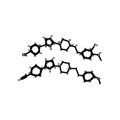 COc1ccc(CCN2CCN(c3nc(-c4ccc(C#N)cc4)ns3)CC2)cc1.COc1ccc(CCN2CCN(c3nc(-c4ccc(Cl)cc4)ns3)CC2)cc1F